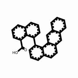 O=C(O)c1cccc2cccc(-c3cccc4ccc5cc6ccccc6cc5c34)c12